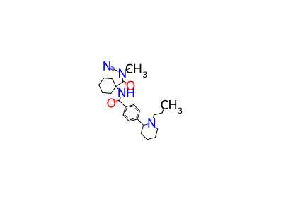 CCCN1CCCCC1c1ccc(C(=O)NC2(C(=O)N(C)C#N)CCCCC2)cc1